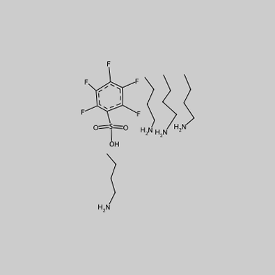 CCCCN.CCCCN.CCCCN.CCCCN.O=S(=O)(O)c1c(F)c(F)c(F)c(F)c1F